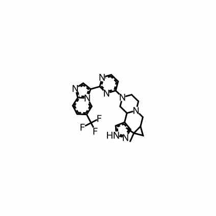 CC1(C)CC1CN1CCN(c2ccnc(-c3cnc4ccc(C(F)(F)F)cn34)n2)CC1c1cn[nH]c1